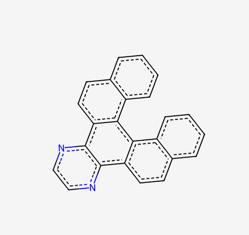 c1ccc2c(c1)ccc1c3nccnc3c3ccc4ccccc4c3c21